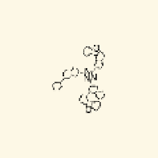 c1ccc(-c2ccc3ccc(-c4nc(-c5cc(-c6cccc7oc8ccccc8c67)c6ccccc6c5)nc(-c5ccc6ccc7oc8ccccc8c7c6c5)n4)cc3c2)cc1